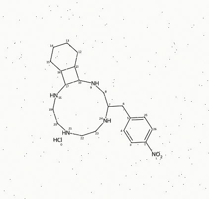 Cl.O=[N+]([O-])c1ccc(CC2CNC3C4CCCCC4C3NCCNCCN2)cc1